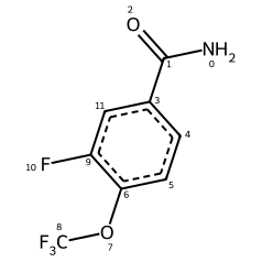 NC(=O)c1ccc(OC(F)(F)F)c(F)c1